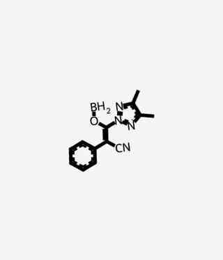 BOC(=C(C#N)c1ccccc1)n1nc(C)c(C)n1